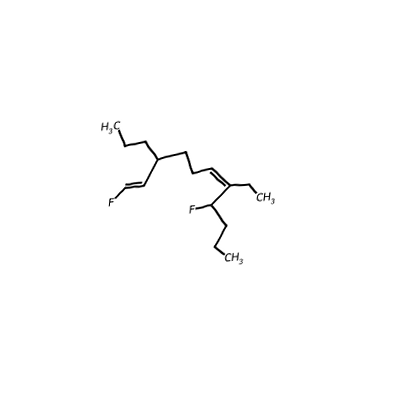 CCCC(C=CF)CC/C=C(/CC)C(F)CCC